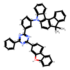 CC1(C)c2ccccc2-c2c1ccc1c2c2ccccc2n1-c1cccc(-c2nc(-c3ccccc3)nc(-c3ccc4c(c3)oc3ccccc34)n2)c1